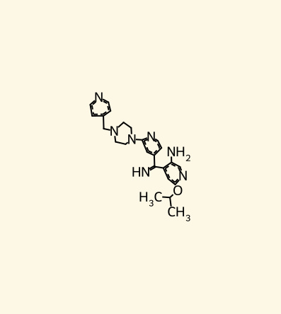 CC(C)Oc1cc(C(=N)c2ccnc(N3CCN(Cc4ccncc4)CC3)c2)c(N)cn1